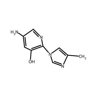 Cc1cn(-c2ncc(N)cc2O)cn1